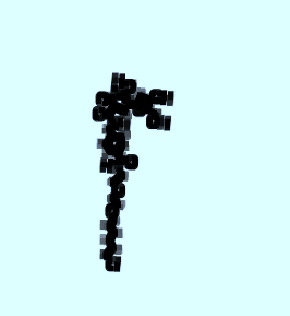 O=C(NCCOCCOCCCCCCCl)c1ccc(CNC(=O)c2cn([C@H]3CC(O)[C@@H](CO)O3)c(=O)[nH]c2=O)cc1